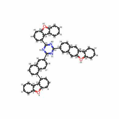 c1cc(-c2cccc3oc4ccccc4c23)c2ccc(-c3nc(-c4ccc5cc6c(cc5c4)oc4ccccc46)nc(-c4cccc5oc6ccccc6c45)n3)cc2c1